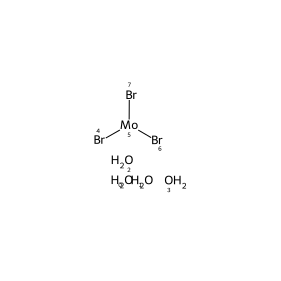 O.O.O.O.[Br][Mo]([Br])[Br]